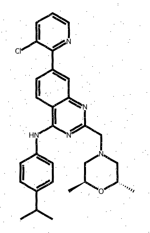 CC(C)c1ccc(Nc2nc(CN3C[C@H](C)O[C@@H](C)C3)nc3cc(-c4ncccc4Cl)ccc23)cc1